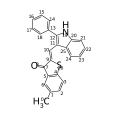 Cc1ccc2c(c1)C(=O)C(=Cc1c(-c3ccccc3)[nH]c3ccccc13)S2